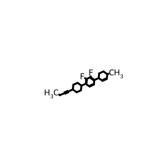 CCC#CC1CCC(c2ccc(C3C=CC(C)CC3)c(F)c2F)CC1